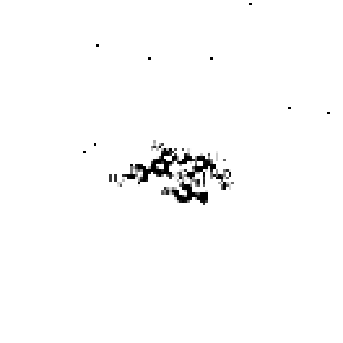 CCCCc1cc(-c2cnc(C)nc2)cc2c(C(C)=O)nn(CC(=O)N3C[C@](C)(CNC(=O)CCC)C[C@H]3C(=O)Nc3nc(Br)ccc3C3CC3)c12